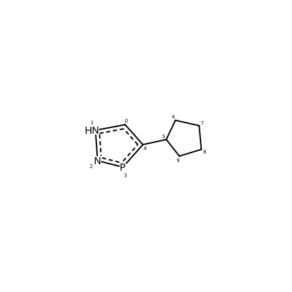 c1[nH]npc1C1CCCC1